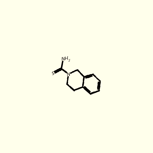 NC(=S)N1CCc2ccccc2C1